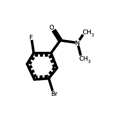 CN(C)C(=O)c1cc(Br)ccc1F